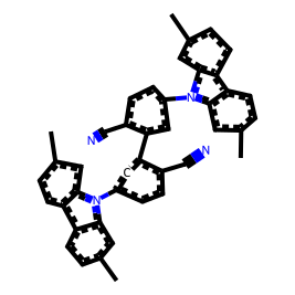 Cc1ccc2c3ccc(C)cc3n(-c3ccc(C#N)c(-c4cc(-n5c6cc(C)ccc6c6ccc(C)cc65)ccc4C#N)c3)c2c1